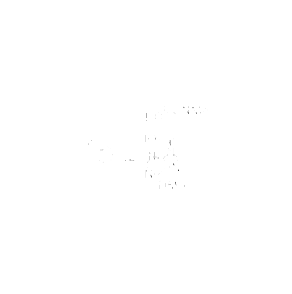 CNC(=O)C12CC1[C@@H](n1cnc3c(NC)nc(C#Cc4ccc(Br)s4)nc31)[C@H](O)[C@@H]2O